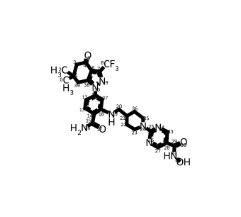 CC1(C)CC(=O)c2c(C(F)(F)F)nn(-c3ccc(C(N)=O)c(NCC4CCN(c5ncc(C(=O)NO)cn5)CC4)c3)c2C1